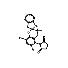 CN1c2ccccc2CC12Oc1c(Cl)cc(Cl)c(N3C(=O)CCC3=O)c1CC2(C)C